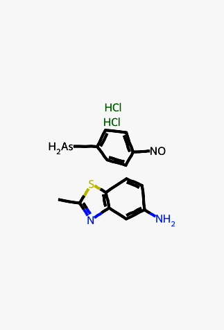 Cc1nc2cc(N)ccc2s1.Cl.Cl.O=Nc1ccc([AsH2])cc1